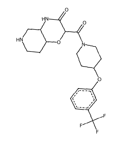 O=C1NC2CNCCC2OC1C(=O)N1CCC(Oc2cccc(C(F)(F)F)c2)CC1